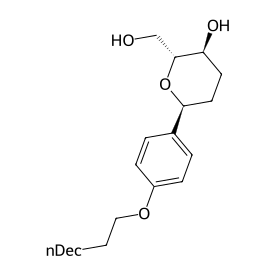 CCCCCCCCCCCCOc1ccc([C@@H]2CC[C@H](O)[C@@H](CO)O2)cc1